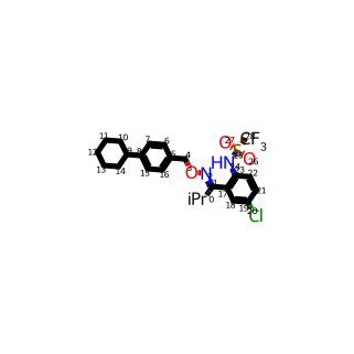 CC(C)/C(=N\OCc1ccc(C2CCCCC2)cc1)c1cc(Cl)ccc1NS(=O)(=O)C(F)(F)F